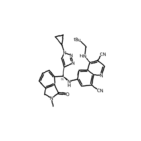 CN1Cc2cccc([C@H](Nc3cc(C#N)c4ncc(C#N)c(NCC(C)(C)C)c4c3)c3cn(C4CC4)nn3)c2C1=O